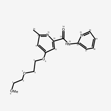 COCCOCCOc1cc(C)nc(C(=O)Nc2ccccn2)c1